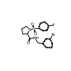 O=C(NCc1cccc(Br)c1)C1CCCN1S(=O)(=O)c1ccc(F)cc1